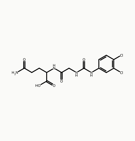 NC(=O)CCC(NC(=O)CNC(=O)Nc1ccc(Cl)c(Cl)c1)C(=O)O